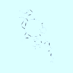 CCn1c(-c2cccnc2[C@H](C)OC)c2c3cc(ccc31)-c1cc(O)cc(c1)C[C@H](NC(=O)[C@H](C(C)C)N(C)C(=O)c1ncc(NC(=O)/C=C/CN(C)C)s1)C(=O)N1CCC[C@H](N1)C(=O)OCC(C)(C)C2